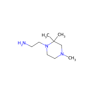 CN1CCN(CCN)C(C)(C)C1